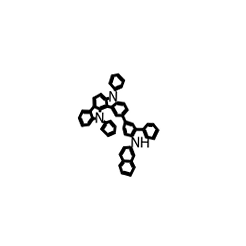 c1ccc(-c2cc(-c3ccc4c(c3)c3c(ccc5c6ccccc6n(-c6ccccc6)c53)n4-c3ccccc3)ccc2Nc2ccc3ccccc3c2)cc1